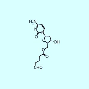 Nc1ccn([C@H]2C[C@H](O)[C@@H](COC(=O)CCCC=O)O2)c(=O)n1